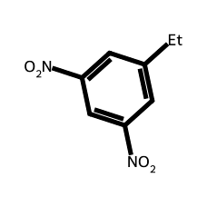 CCc1cc([N+](=O)[O-])cc([N+](=O)[O-])c1